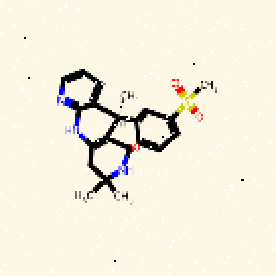 CC1(C)CC2=C(C(=O)N1)[C@](C)(c1cccc(S(C)(=O)=O)c1)c1cccnc1N2